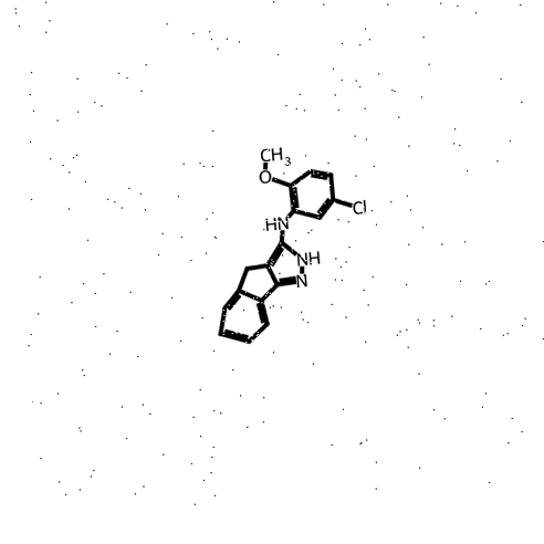 COc1ccc(Cl)cc1Nc1[nH]nc2c1Cc1ccccc1-2